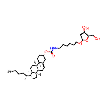 CC(C)CCC[C@@H](C)[C@H]1CC[C@@H]2C3CC=C4C[C@@H](OC(=O)NCCCCCCOC5CC(O)[C@@H](CO)O5)CC[C@]4(C)[C@@H]3CC[C@@]21C